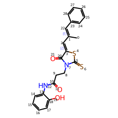 CC(/C=C1\SC(=S)N(CCC(=O)Nc2ccccc2O)C1=O)=C\c1ccccc1